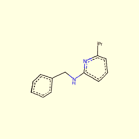 CC(C)c1cccc(NCc2ccccc2)n1